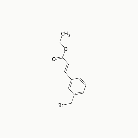 CCOC(=O)/C=C/c1cccc(CBr)c1